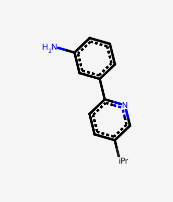 CC(C)c1ccc(-c2cccc(N)c2)nc1